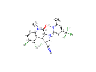 Cc1cc(C(F)(F)F)cc(N2C[C@@](F)(C#N)C[C@H]2C(=O)N(C)c2ccc(F)c(Cl)c2)n1